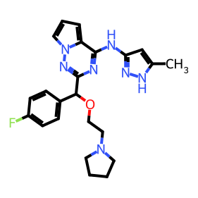 Cc1cc(Nc2nc(C(OCCN3CCCC3)c3ccc(F)cc3)nn3cccc23)n[nH]1